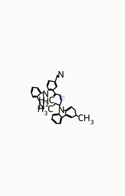 C=C(/C=C\C(CC)n1c2c(c3ccccc31)=CC(C)CC=2)c1cc(C#N)ccc1Nc1ccccc1C#N